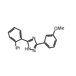 COc1cccc(-c2n[nH]c(-c3ccccc3C(C)C)n2)c1